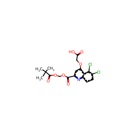 CC(C)(C)C(=O)OCOC(=O)c1cc(OCC(=O)O)c2c(Cl)c(Cl)ccc2n1